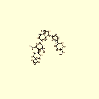 CCc1cc(C2=NC3C(c4cnn(C5CCN(CC)CC5)c4)=CNC3N=C2)cc(C)c1N1CCC2(CC1)COC2